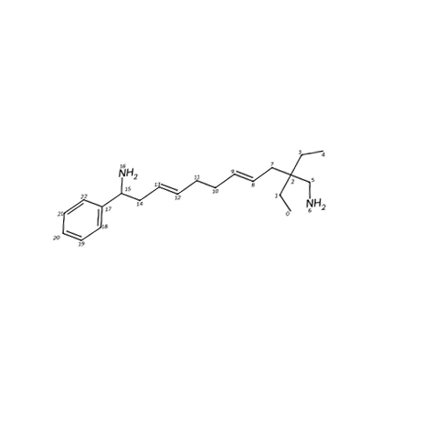 CCC(CC)(CN)CC=CCCC=CCC(N)c1ccccc1